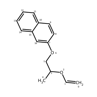 C=COC(C)COc1ccc2ccccc2c1